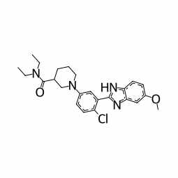 CCN(CC)C(=O)C1CCCN(c2ccc(Cl)c(-c3nc4cc(OC)ccc4[nH]3)c2)C1